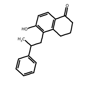 CC(Cc1c(O)ccc2c1CCCC2=O)c1ccccc1